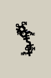 CCCC(C)(C)CC[C@@](C)(CCC(C)(C)[C@]1(C)CC[C@H]2C(C)(C)C(=O)C(C#N)=C[C@]2(C)/C1=C/C(C)=O)CC(=O)O